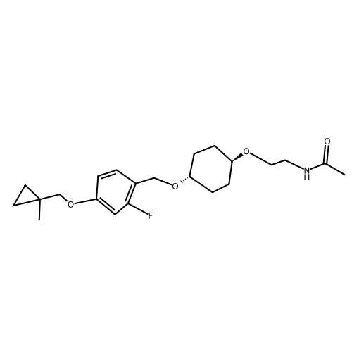 CC(=O)NCCO[C@H]1CC[C@H](OCc2ccc(OCC3(C)CC3)cc2F)CC1